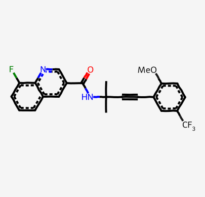 COc1ccc(C(F)(F)F)cc1C#CC(C)(C)NC(=O)c1cnc2c(F)cccc2c1